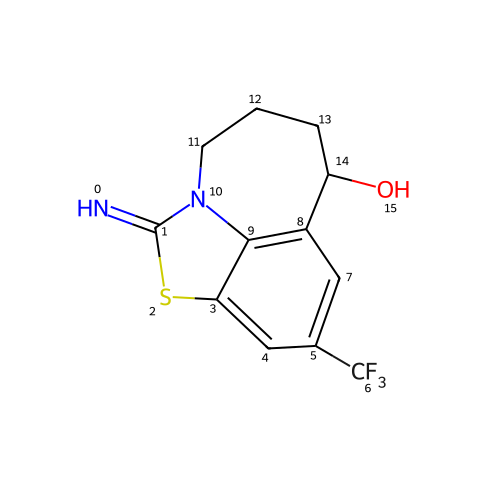 N=c1sc2cc(C(F)(F)F)cc3c2n1CCCC3O